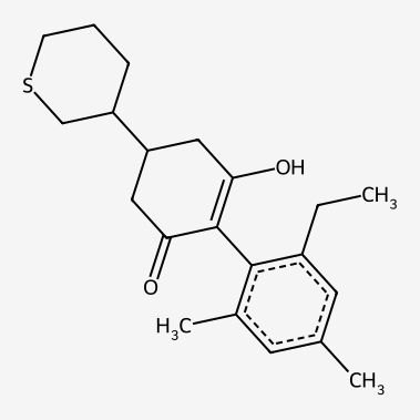 CCc1cc(C)cc(C)c1C1=C(O)CC(C2CCCSC2)CC1=O